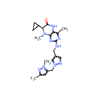 Cc1nc(NCc2cnn(Cc3cc(C(F)(F)F)nn3C)c2)nc2c1NC(=O)C(C1CC1)N2C